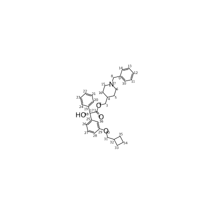 O=C(OCC1CCN(Cc2ccccc2)CC1)[C@](O)(c1ccccc1)c1cccc(OCC2CCC2)c1